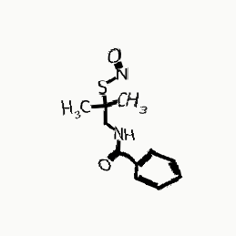 CC(C)(CNC(=O)c1ccccc1)SN=O